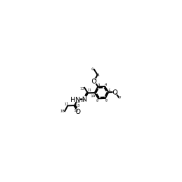 CCOc1cc(OC)ccc1C(C)=NNC(=O)CC